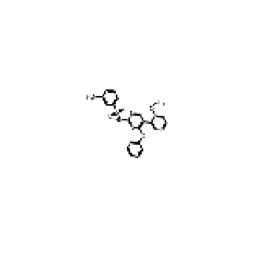 COc1ccccc1-c1cnc(NS(=O)(=O)c2cccc(N)c2)nc1Oc1ccccc1